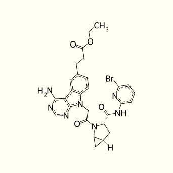 CCOC(=O)CCc1ccc2c(c1)c1c(N)ncnc1n2CC(=O)N1C2C[C@@H]2C[C@H]1C(=O)Nc1cccc(Br)n1